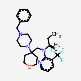 C=C(CC)N(CC1(N2CCN(Cc3ccccc3)CC2)CCOCC1)c1ncccc1C(F)(F)F